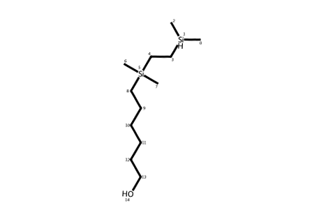 C[SiH](C)CC[Si](C)(C)CCCCCCO